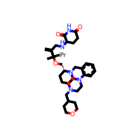 C=C(CNC1CCC(=O)NC1=O)C(C)(OC[C@H]1CCCCN1Cc1ccccc1N1CCN(CC2CCOCC2)CC1)C(C)C